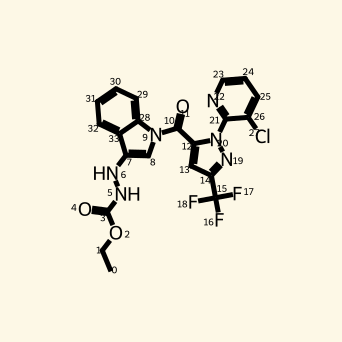 CCOC(=O)NNc1cn(C(=O)c2cc(C(F)(F)F)nn2-c2ncccc2Cl)c2ccccc12